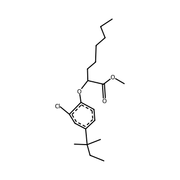 CCCCCCC(Oc1ccc(C(C)(C)CC)cc1Cl)C(=O)OC